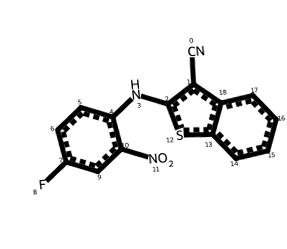 N#Cc1c(Nc2ccc(F)cc2[N+](=O)[O-])sc2ccccc12